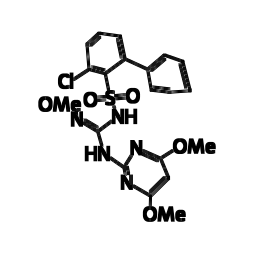 CON=C(Nc1nc(OC)cc(OC)n1)NS(=O)(=O)c1c(Cl)cccc1-c1ccccc1